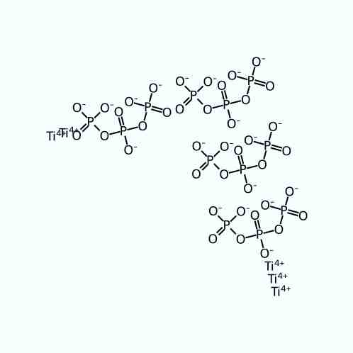 O=P([O-])([O-])OP(=O)([O-])OP(=O)([O-])[O-].O=P([O-])([O-])OP(=O)([O-])OP(=O)([O-])[O-].O=P([O-])([O-])OP(=O)([O-])OP(=O)([O-])[O-].O=P([O-])([O-])OP(=O)([O-])OP(=O)([O-])[O-].[Ti+4].[Ti+4].[Ti+4].[Ti+4].[Ti+4]